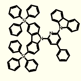 c1ccc(-c2cc(-n3c4ccccc4c4ccccc43)nc(-n3c4ccc([Si](c5ccccc5)(c5ccccc5)c5ccccc5)cc4c4cc([Si](c5ccccc5)(c5ccccc5)c5ccccc5)ccc43)c2)cc1